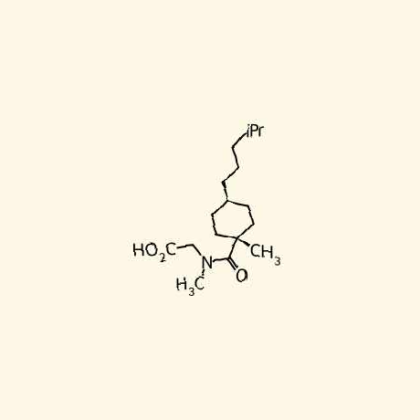 CC(C)CCC[C@H]1CC[C@](C)(C(=O)N(C)CC(=O)O)CC1